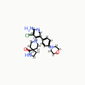 Nc1ncc(-c2ccc(N3CCOCC3)cc2)c(N2CCC3(CCNC3=O)CC2)c1Cl